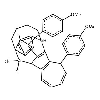 COc1ccc(C2C=CC=CC3=C2C2=C(C)[CH]3[Zr]([Cl])([Cl])[C]34CCCC[SiH]2C(=C3C)C2=C4C=CC=CC2c2ccc(OC)cc2)cc1